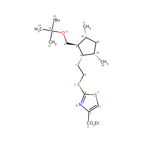 CCOC(=O)c1csc(SCC[C@@H]2[C@@H](CO[Si](C)(C)C(C)(C)C)[C@H](C)C[C@@H]2C)n1